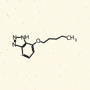 CCCCCOc1cc[c]c2nn[nH]c12